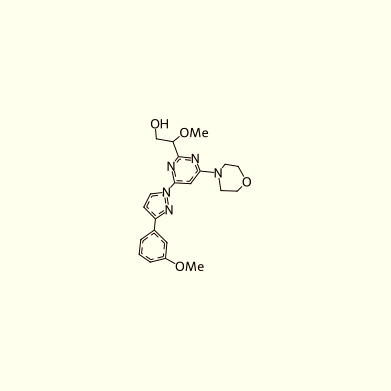 COc1cccc(-c2ccn(-c3cc(N4CCOCC4)nc(C(CO)OC)n3)n2)c1